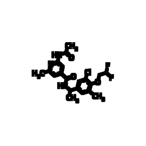 CC(=O)Nc1cc(C(=O)NC(C)c2cc(C)c(OCC(F)F)c(Cl)c2)cc(C)n1